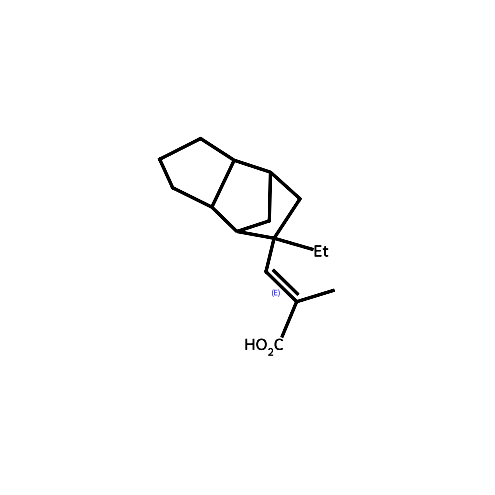 CCC1(/C=C(\C)C(=O)O)CC2CC1C1CCCC21